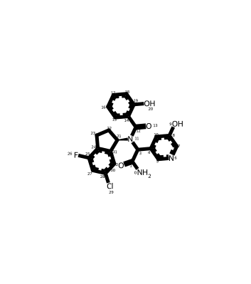 NC(=O)C(c1cncc(O)c1)N(C(=O)c1ccccc1O)[C@@H]1CCc2c(F)cc(Cl)cc21